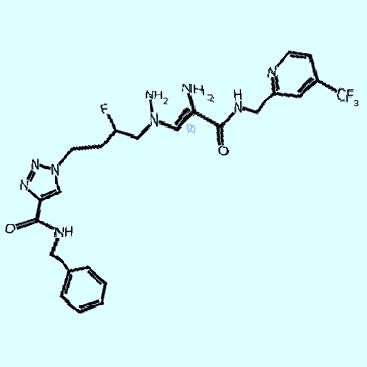 N/C(=C\N(N)CC(F)CCn1cc(C(=O)NCc2ccccc2)nn1)C(=O)NCc1cc(C(F)(F)F)ccn1